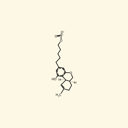 CC1=C[C@H]2c3c(O)cc(CCCCCO[N+](=O)[O-])cc3OC[C@H]2CC1